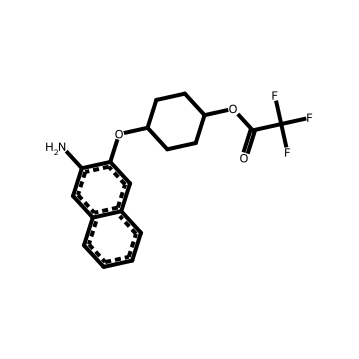 Nc1cc2ccccc2cc1OC1CCC(OC(=O)C(F)(F)F)CC1